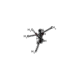 CCCCCCCCCCCCCC(=O)N[C@H]1[C@H](OC[C@H]2O[C@H](O)[C@](CCOP(=O)(O)O)(NC(=O)CCCCCCCCCCCCC)[C@@H](OCCCC(=O)CCCCCCCCCC)[C@@H]2O)O[C@H](CO)[C@@H](OP(=O)(O)O)[C@@H]1OCCCC(=O)CCCCCCCCCC